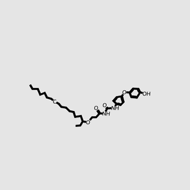 CCCCCCCCCCCCCCCC(CC)OCCC(=O)NC(=O)Nc1ccc(Oc2ccc(O)cc2)cc1